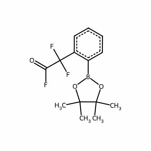 CC1(C)OB(c2ccccc2C(F)(F)C(=O)F)OC1(C)C